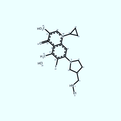 CCNCC1CCN(c2cc3c(c(C)c2F)c(=O)c(C(=O)O)cn3C2CC2)C1.Cl